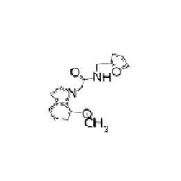 COc1cccc2ccn(CC(=O)NCc3ccco3)c12